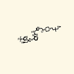 C=NCC(C)(C)CCN1CCN(C(=O)Cn2cc(Nc3nc4c(N5CC(CC#N)(n6cc(C(F)(F)F)cn6)C5)cccn4n3)cn2)CC1